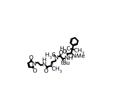 CN[C@H](C(=O)NC(C(=O)N(C)C/C=C(\C)C(=O)NCCN1C(=O)C=CC1=O)C(C)(C)C)C(C)(C)C1=CCCC=C1